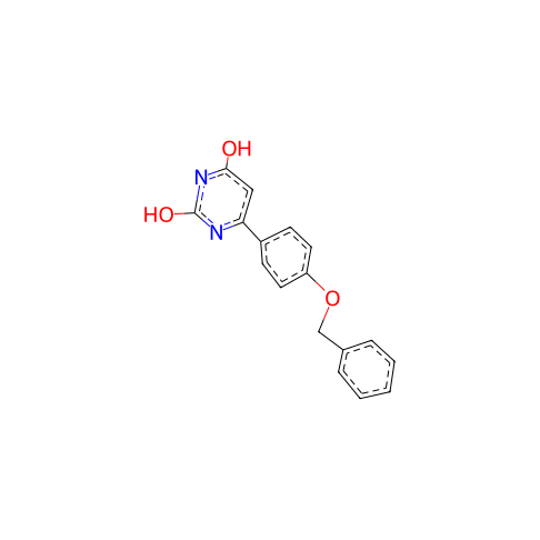 Oc1cc(-c2ccc(OCc3ccccc3)cc2)nc(O)n1